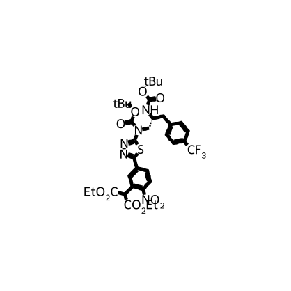 CCOC(=O)C(C(=O)OCC)c1cc(-c2nnc(N(C[C@@H](Cc3ccc(C(F)(F)F)cc3)NC(=O)OC(C)(C)C)C(=O)OC(C)(C)C)s2)ccc1[N+](=O)[O-]